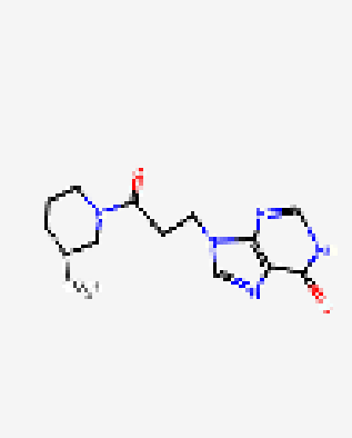 O=C(O)C1CCCN(C(=O)CCn2cnc3c(=O)[nH]cnc32)C1